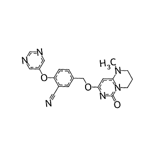 CN1CCCn2c1cc(OCc1ccc(Oc3cncnc3)c(C#N)c1)nc2=O